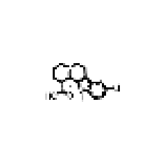 C[C@@]12c3[nH]c4ccc(Cl)cc4c3CCN1CCC[C@H]2C(=O)O